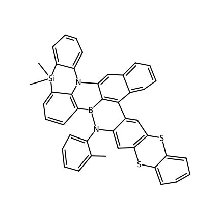 Cc1ccccc1N1B2c3cccc4c3N(c3ccccc3[Si]4(C)C)c3cc4ccccc4c(c32)-c2cc3c(cc21)Sc1ccccc1S3